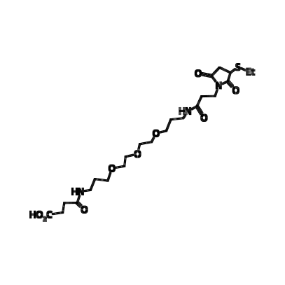 CCSC1CC(=O)N(CCC(=O)NCCCOCCOCCOCCCNC(=O)CCC(=O)O)C1=O